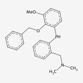 COc1cccc(Pc2ccccc2CN(C)C)c1OCc1ccccc1